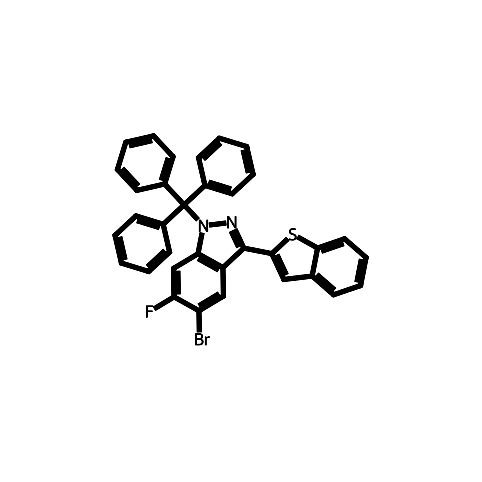 Fc1cc2c(cc1Br)c(-c1cc3ccccc3s1)nn2C(c1ccccc1)(c1ccccc1)c1ccccc1